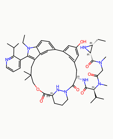 CC[C@H]1N[C@H]1C(=O)N(C)CC(=O)N(C)[C@H](C(=O)N[C@H]1Cc2cc(O)cc(c2)-c2ccc3c(c2)c(c(-c2cccnc2C(C)C)n3CC)CC(C)(C)COC(=O)[C@@H]2CCCN(N2)C1=O)C(C)C